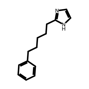 c1ccc(CCCCCc2ncc[nH]2)cc1